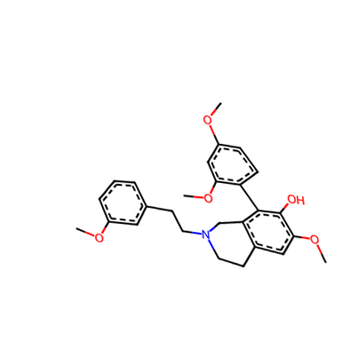 COc1cccc(CCN2CCc3cc(OC)c(O)c(-c4ccc(OC)cc4OC)c3C2)c1